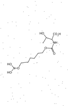 CC(O)C(NC(=O)OCCCCCCON(O)O)C(=O)O